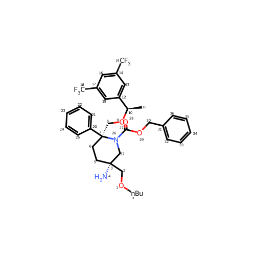 CCCCOC[C@@]1(N)CC[C@@](CO[C@H](C)c2cc(C(F)(F)F)cc(C(F)(F)F)c2)(c2ccccc2)N(C(=O)OCc2ccccc2)C1